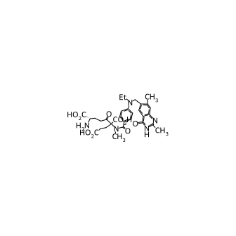 CCN(Cc1cc2c(=O)[nH]c(C)nc2cc1C)c1ccc(C(=O)N(C)[C@@](CCC(=O)O)(C(=O)O)C(=O)CC[C@H](N)C(=O)O)cc1